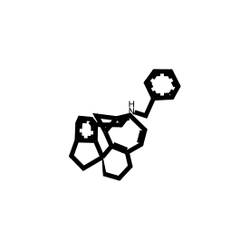 C1=CC2=C(C3CC3=C1)[C@]1(CCC2)CCc2cccc(CNCc3ccccc3)c21